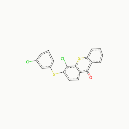 O=c1c2ccccc2sc2c(Cl)c(Sc3cccc(Cl)c3)ccc12